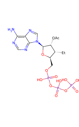 CC[C@H]1[C@@H](OC(C)=O)[C@H](n2cnc3c(N)ncnc32)O[C@@H]1COP(=O)(O)OP(=O)(O)OP(=O)(O)O